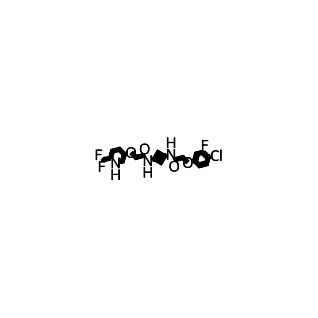 O=C(COc1ccc(Cl)c(F)c1)NC12CC(NC(=O)COC3CCC(C(F)F)NC3)(C1)C2